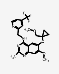 COCC1(Oc2cc3c(NCc4cc(C(F)(F)F)ccn4)nc(C)nc3cc2OC)CC1